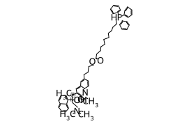 COc1nc2ccc(CCCCOC(=O)CCCCCCCCCCC[PH](c3ccccc3)(c3ccccc3)c3ccccc3)cc2cc1[C@@H](C)[C@@](O)(CCN(C)C)c1cccc2ccccc12